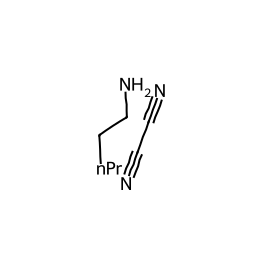 CCCCCN.N#CC#N